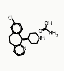 Clc1ccc2c(c1)CCc1cccnc1C2=C1CCNCC1.NC(=O)O